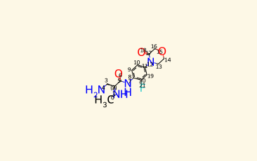 CN[C@@H](CN)C(=O)Nc1ccc(N2CCOCC2=O)cc1F